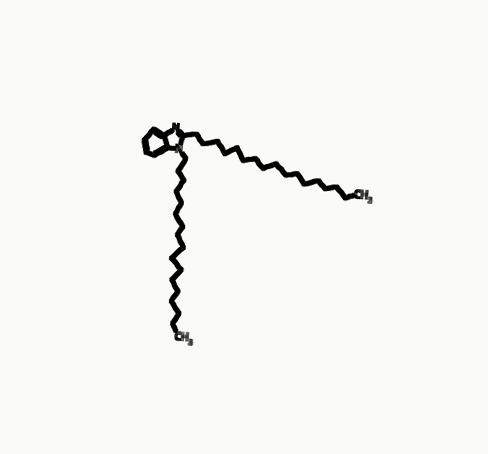 CCCCCCCCCCCCCCCCCc1nc2ccccc2n1CCCCCCCCCCCCCCCCC